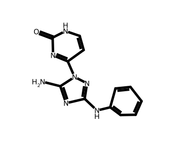 Nc1nc(Nc2ccccc2)nn1-c1cc[nH]c(=O)n1